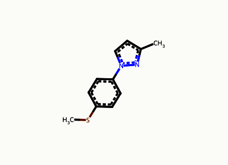 CSc1ccc(-n2ccc(C)n2)cc1